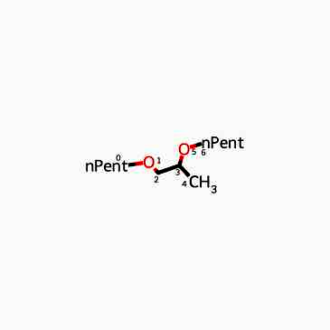 CCCCCOCC(C)OCCCCC